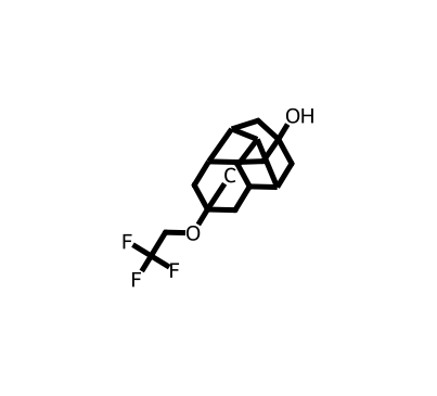 OC12CC3C4CC5(OCC(F)(F)F)CC3C(C1)C(C5)C4C2